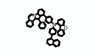 c1ccc(-c2c3c(-c4ccc(N(c5ccc(-c6cccc7ccccc67)cc5)c5cccc6oc7ccccc7c56)cc4)cccc3n3ccc4ccccc4c23)cc1